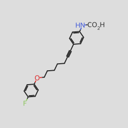 O=C(O)Nc1ccc(C#CCCCCCOc2ccc(F)cc2)cc1